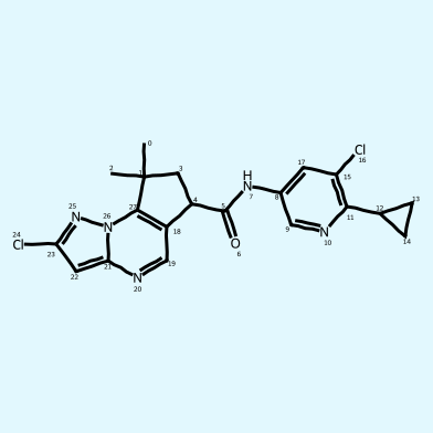 CC1(C)CC(C(=O)Nc2cnc(C3CC3)c(Cl)c2)c2cnc3cc(Cl)nn3c21